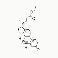 CCOC(=O)CC[C@@H](C)C1CCC2C3C(CC[C@@]21C)[C@@]1(C)CCC(=O)C=C1[C@H]1C[C@@H]31